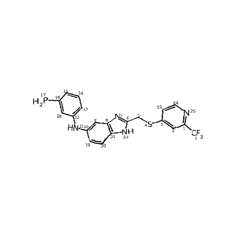 FC(F)(F)c1cc(SCc2nc3cc(Nc4cccc(P)c4)ccc3[nH]2)ccn1